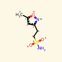 Cc1cc(CCS(N)(=O)=O)no1